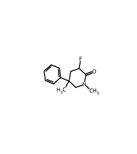 CN1CC(C)(c2ccccc2)CC(F)C1=O